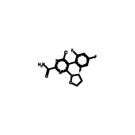 NC(=O)c1nc(Cl)c(-c2c(F)cc(F)cc2F)c(N2CCCO2)n1